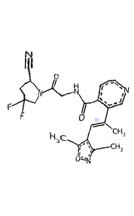 C/C(=C\c1c(C)noc1C)c1cnccc1C(=O)NCC(=O)N1CC(F)(F)CC1C#N